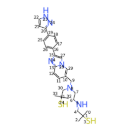 CC(C)(S)CNCCN(Cc1ccc2nc(-c3ccc(-c4cc[nH]n4)cc3)cn2c1)CC(C)(C)S